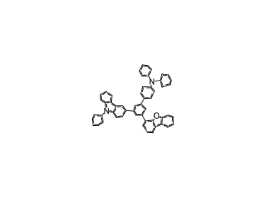 c1ccc(N(c2ccccc2)c2ccc(-c3cc(-c4ccc5c(c4)c4ccccc4n5-c4ccccc4)cc(-c4cccc5c4oc4ccccc45)c3)cc2)cc1